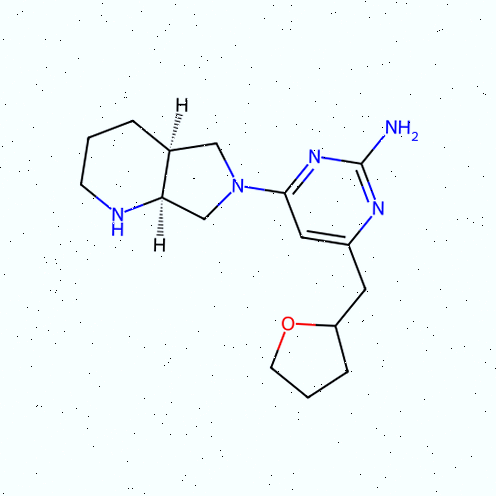 Nc1nc(CC2CCCO2)cc(N2C[C@@H]3CCCN[C@@H]3C2)n1